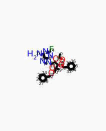 CC(=O)OC1C(n2cnc3c(N)nc(F)nc32)OC(C)(COCc2ccccc2)C1OCc1ccccc1